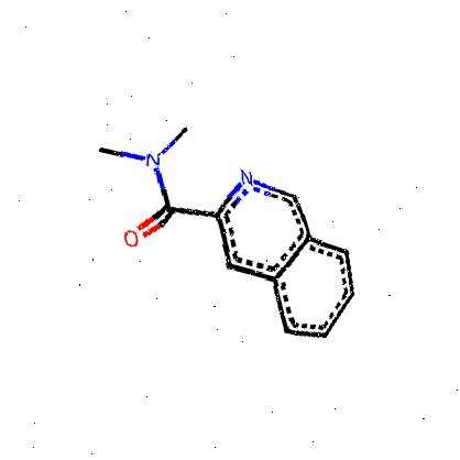 CN(C)C(=O)c1cc2ccccc2cn1